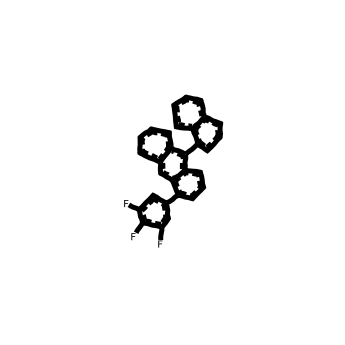 Fc1cc(-c2cccc3c(-c4cccc5ccccc45)c4ccccc4cc23)cc(F)c1F